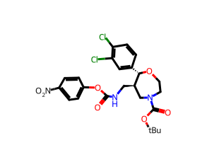 CC(C)(C)OC(=O)N1CCO[C@@H](c2ccc(Cl)c(Cl)c2)[C@H](CNC(=O)Oc2ccc([N+](=O)[O-])cc2)C1